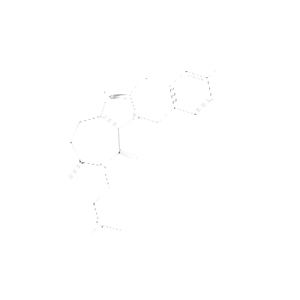 C=C1CCc2nc(Br)n(Cc3ccc(Cl)cc3)c2C(=O)N1CCN(C)C